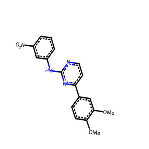 COc1ccc(-c2ccnc(Nc3cccc([N+](=O)[O-])c3)n2)cc1OC